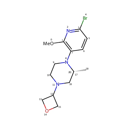 COc1nc(Br)ccc1N1CCN(C2COC2)C[C@H]1C